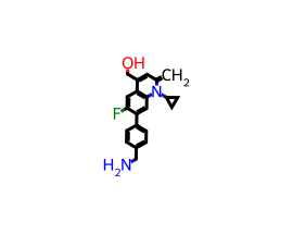 C=C1C=C(CO)c2cc(F)c(-c3ccc(CN)cc3)cc2N1C1CC1